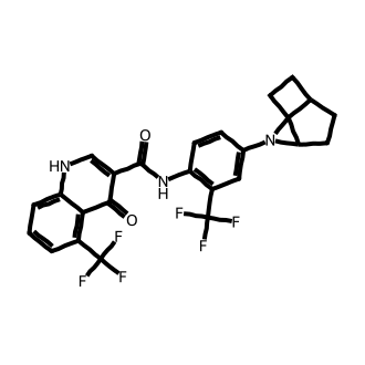 O=C(Nc1ccc(N2C3CCC4CCC432)cc1C(F)(F)F)c1c[nH]c2cccc(C(F)(F)F)c2c1=O